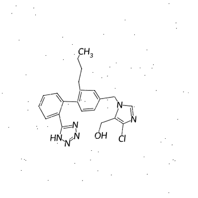 CCCCc1cc(Cn2cnc(Cl)c2CO)ccc1-c1ccccc1-c1nnn[nH]1